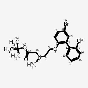 CN(CCOc1ccc(Br)cc1-c1ccccc1Cl)CC(=O)OC(C)(C)C